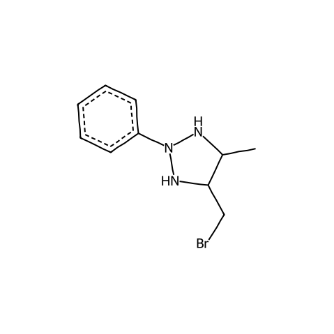 CC1NN(c2ccccc2)NC1CBr